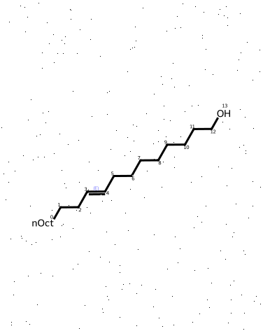 CCCCCCCCCC/C=C/CCCCCCCCO